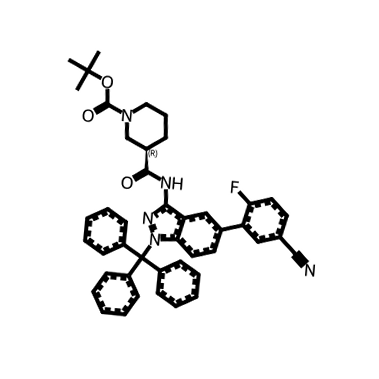 CC(C)(C)OC(=O)N1CCC[C@@H](C(=O)Nc2nn(C(c3ccccc3)(c3ccccc3)c3ccccc3)c3ccc(-c4cc(C#N)ccc4F)cc23)C1